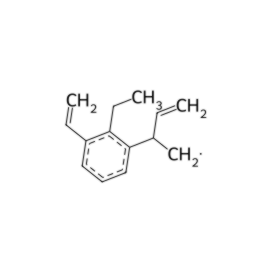 [CH2]C(C=C)c1cccc(C=C)c1CC